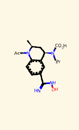 CC(=O)N1c2ccc(C(=N)NO)cc2[C@H](N(C(=O)O)C(C)C)C[C@@H]1C